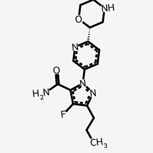 CCCc1nn(-c2ccc([C@H]3CNCCO3)nc2)c(C(N)=O)c1F